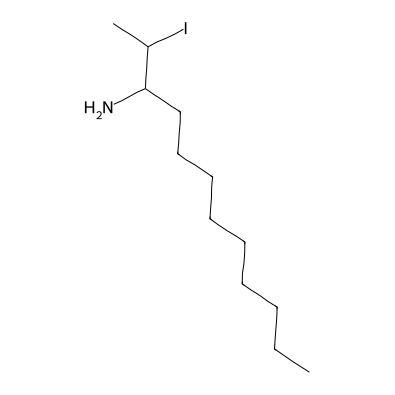 CCCCCCCCCC(N)C(C)I